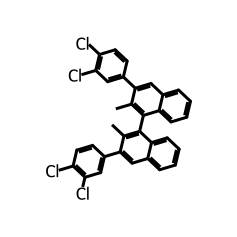 Cc1c(-c2ccc(Cl)c(Cl)c2)cc2ccccc2c1-c1c(C)c(-c2ccc(Cl)c(Cl)c2)cc2ccccc12